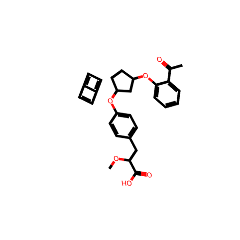 COC(Cc1ccc(OC2CCC(Oc3ccccc3C(C)=O)C2)cc1)C(=O)O.c1cc2ccc1-2